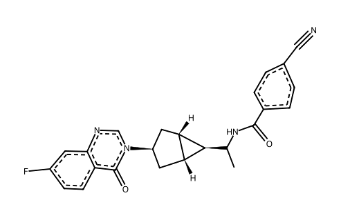 CC(NC(=O)c1ccc(C#N)cc1)[C@H]1[C@@H]2C[C@@H](n3cnc4cc(F)ccc4c3=O)C[C@@H]21